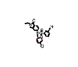 CCN1Cc2cc(N(Cc3ccc(Cl)cc3)S(=O)(=O)c3cccc(C#N)c3)ccc2C1=O